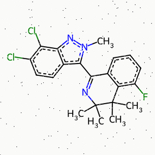 Cn1nc2c(Cl)c(Cl)ccc2c1C1=NC(C)(C)C(C)(C)c2c(F)cccc21